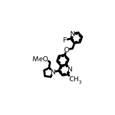 COCC1CCCN1c1cc(C)nc2cc(OCc3cccnc3F)ccc12